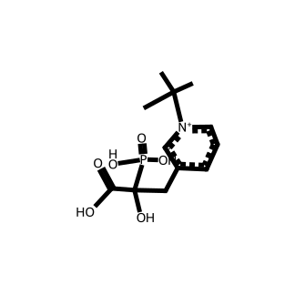 CC(C)(C)[n+]1cccc(CC(O)(C(=O)O)P(=O)(O)O)c1